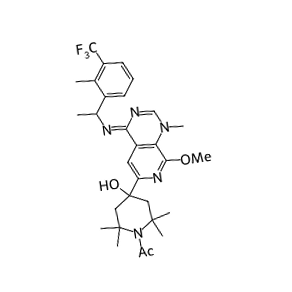 COc1nc(C2(O)CC(C)(C)N(C(C)=O)C(C)(C)C2)cc2c(=NC(C)c3cccc(C(F)(F)F)c3C)ncn(C)c12